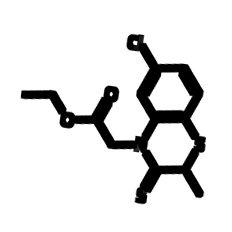 CCOC(=O)CN1C(=S)C(C)Sc2ccc(Cl)cc21